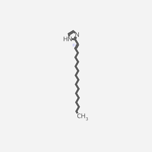 CCCCCCCCCCCCCCC/C=C/c1ncc[nH]1